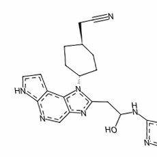 N#CC[C@H]1CC[C@H](n2c(CC(O)Nc3cc[nH]n3)nc3cnc4[nH]ccc4c32)CC1